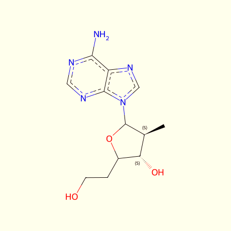 C[C@@H]1C(n2cnc3c(N)ncnc32)OC(CCO)[C@H]1O